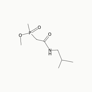 COP(C)(=O)CC(=O)NCC(C)C